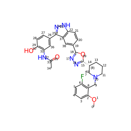 COc1cccc(F)c1CN1CCC[C@@H](c2nnc(-c3ccc4[nH]nc(-c5ccc(O)c(NC(C)=O)c5)c4c3)o2)C1